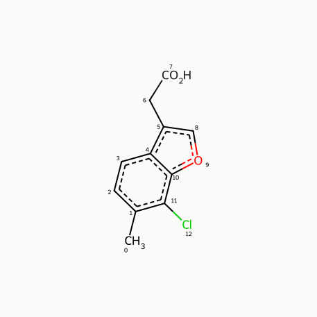 Cc1ccc2c(CC(=O)O)coc2c1Cl